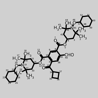 CC1(C)CC(OC(=O)c2cc(C(=O)OC3CC(C)(C)N(OC4CCCCC4)C(C)(C)C3)c(C(=O)C3CCC3)cc2C=O)CC(C)(C)N1OC1CCCCC1